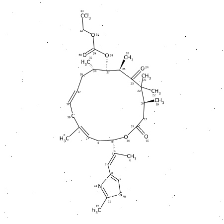 C/C1=C/C[C@@H](/C(C)=C/c2csc(C)n2)OC(=O)C[C@H](C)C(C)(C)C(=O)[C@H](C)[C@@H](OC(=O)OCC(Cl)(Cl)Cl)[C@@H](C)C/C=C/C1